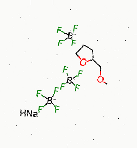 COCC1CCCO1.F[B-](F)(F)F.F[B-](F)(F)F.F[B-](F)(F)F.[NaH]